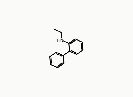 CCNc1ccccc1-c1ccccc1